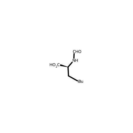 CCC(C)C[C@H](NC=O)C(=O)O